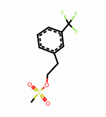 CS(=O)(=O)OCCc1cccc(C(F)(F)F)c1